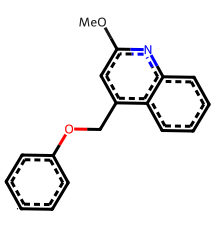 COc1cc(COc2cc[c]cc2)c2ccccc2n1